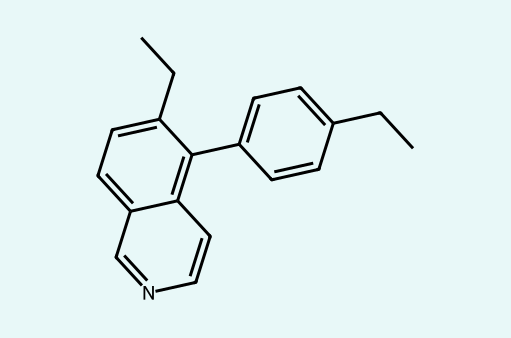 CCc1ccc(-c2c(CC)ccc3cnccc23)cc1